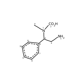 CN(C(=O)O)C(CN)c1ccccc1